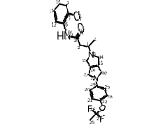 CC(CC(=O)NC1=C(Cl)CCC=C1)N1CC2=C(CN(c3ccc(OC(C)(F)F)cc3)C2)C1